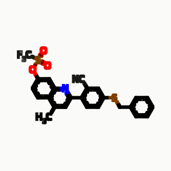 Cc1cc(-c2ccc(SCc3ccccc3)cc2C#N)nc2cc(OS(=O)(=O)C(F)(F)F)ccc12